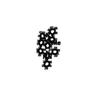 CSc1ccccc1C1(c2cccc(-c3cccc(-c4nc(-c5ccccc5)nc(-c5ccccc5)n4)c3)c2)c2ccccc2-n2c3ccccc3c3cccc1c32